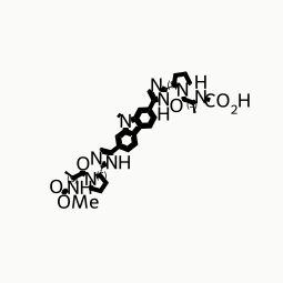 COC(=O)N[C@@H](C)C(=O)N1CCC[C@H]1c1ncc(-c2ccc3c4ccc(-c5cnc([C@@H]6CCCN6C(=O)[C@H](C)NC(=O)O)[nH]5)cc4n(C)c3c2)[nH]1